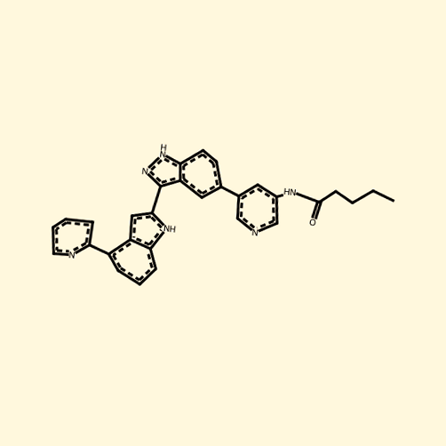 CCCCC(=O)Nc1cncc(-c2ccc3[nH]nc(-c4cc5c(-c6ccccn6)cccc5[nH]4)c3c2)c1